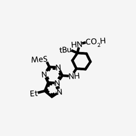 CCc1cnn2c(NC3CCCC(NC(=O)O)(C(C)(C)C)C3)nc(SC)nc12